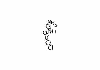 Nc1ccc(NC(=O)COc2ccc(Cl)cc2)s1